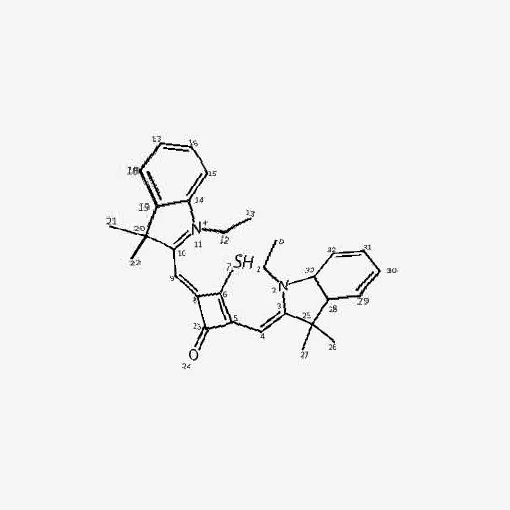 CCN1/C(=C\C2=C(S)C(=C\C3=[N+](CC)c4ccccc4C3(C)C)/C2=O)C(C)(C)C2C=CC=CC21